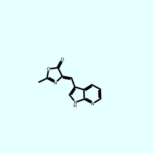 CC1=NC(=Cc2c[nH]c3ncccc23)C(=O)O1